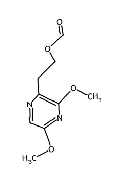 COc1cnc(CCOC=O)c(OC)n1